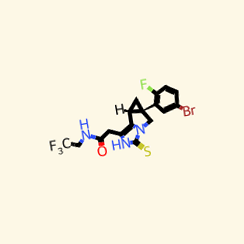 O=C(Cc1[nH]c(=S)n2c1[C@@H]1C[C@]1(c1cc(Br)ccc1F)C2)NCC(F)(F)F